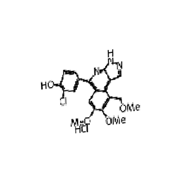 COCc1c(OC)c(OC)cc2c(-c3ccc(O)c(Cl)c3)nc3[nH]ncc3c12.Cl